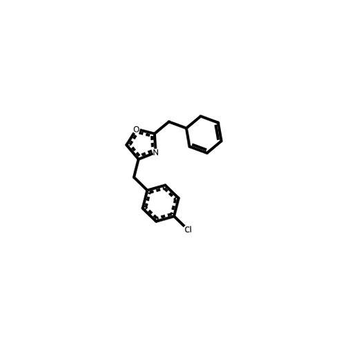 Clc1ccc(Cc2coc(CC3C=CC=CC3)n2)cc1